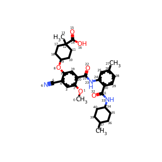 COc1cc(C#N)c(OC2CCC(C)(C(=O)O)CC2)cc1C(=O)Nc1cc(C)ccc1C(=O)NC1CCC(C)CC1